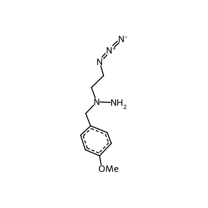 COc1ccc(CN(N)CCN=[N+]=[N-])cc1